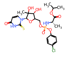 CC(C)OC(=O)[C@H](C)NP(=O)(OCC1O[C@@H](n2ccc(=O)[nH]c2=S)C(C)(O)[C@H]1O)Oc1ccc(Cl)cc1